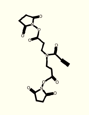 C#CC(=O)N(CCC(=O)ON1C(=O)CCC1=O)CCC(=O)ON1C(=O)CCC1=O